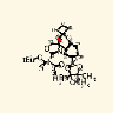 CC(C)(C)OC(=O)N(C(=O)OC(C)(C)C)C1=NC2(CO1)c1cc(B3OC(C)(C)C(C)(C)O3)ccc1OC1(CCC1)C21COC1